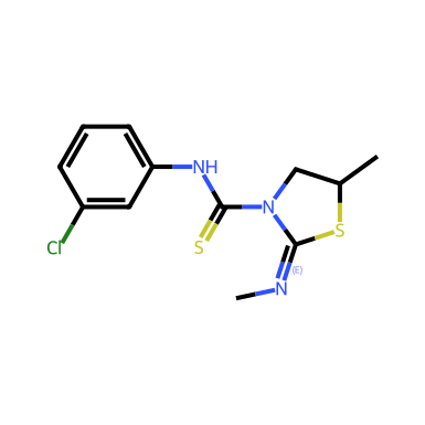 C/N=C1/SC(C)CN1C(=S)Nc1cccc(Cl)c1